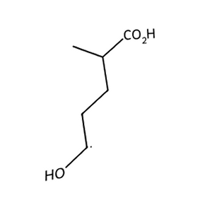 CC(CC[CH]O)C(=O)O